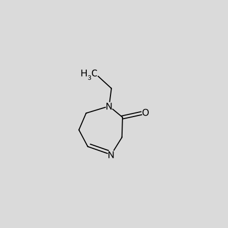 CCN1CCC=NCC1=O